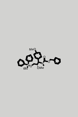 COc1ccc(C([C@@H](CO[Si](c2ccccc2)(c2ccccc2)C(C)(C)C)OC)N(C)C(=O)OCc2ccccc2)cc1